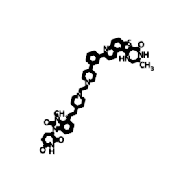 C[C@@H]1CNc2c(sc3ccc4nc(-c5cccc(C6CCN(CCN7CCC(CCc8cccc9c8n(C)c(=O)n9C8CCC(=O)NC8=O)CC7)CC6)c5)ccc4c23)C(=O)N1